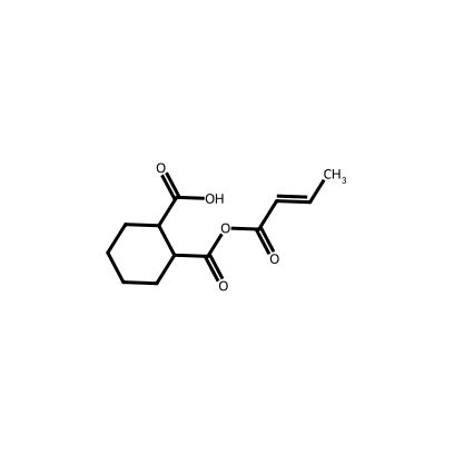 CC=CC(=O)OC(=O)C1CCCCC1C(=O)O